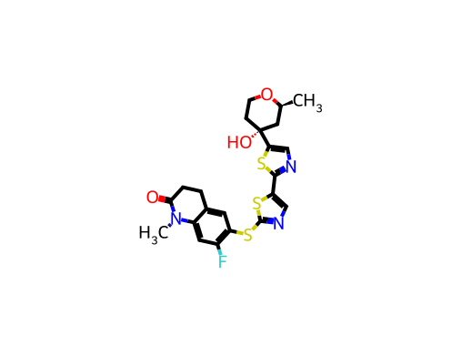 C[C@H]1C[C@@](O)(c2cnc(-c3cnc(Sc4cc5c(cc4F)N(C)C(=O)CC5)s3)s2)CCO1